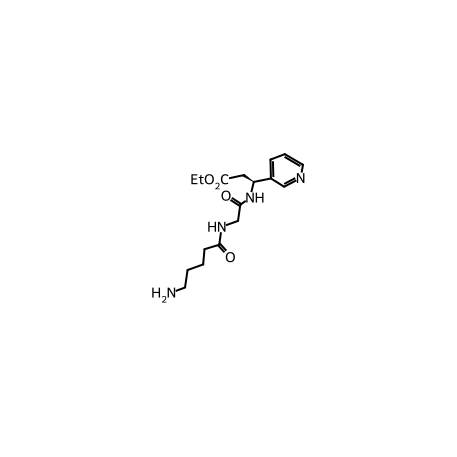 CCOC(=O)C[C@H](NC(=O)CNC(=O)CCCCN)c1cccnc1